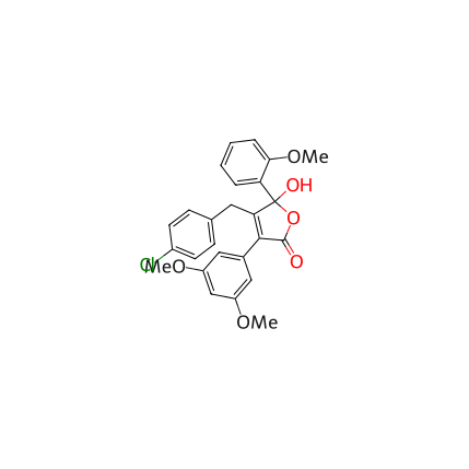 COc1cc(OC)cc(C2=C(Cc3ccc(Cl)cc3)C(O)(c3ccccc3OC)OC2=O)c1